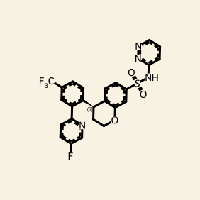 O=S(=O)(Nc1cccnn1)c1ccc2c(c1)OCC[C@H]2c1ccc(C(F)(F)F)cc1-c1ccc(F)cn1